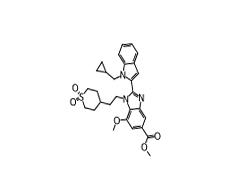 COC(=O)c1cc(OC)c2c(c1)nc(-c1cc3ccccc3n1CC1CC1)n2CCC1CCS(=O)(=O)CC1